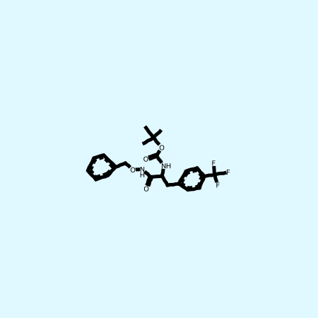 CC(C)(C)OC(=O)NC(Cc1ccc(C(F)(F)F)cc1)C(=O)NOCc1ccccc1